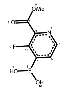 COC(=O)c1nccc(B(O)O)c1F